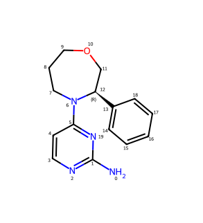 Nc1nccc(N2CCCOC[C@H]2c2ccccc2)n1